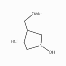 COCC1CCN(O)C1.Cl